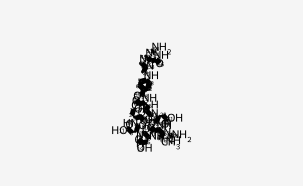 C#CC[C@H](NC(=O)[C@H](CC(=O)O)NC(=O)[C@H](CC(=O)O)NC(=O)[C@@H](NC(=O)[C@H](CC(=O)O)NC(=O)CC[C@H](NC(=O)c1ccc(NCc2cnc3nc(N)[nH]c(=O)c3n2)cc1)C(=O)O)C(CC)NC(=N)N)C(=O)O